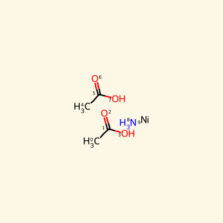 CC(=O)O.CC(=O)O.N.[Ni]